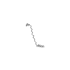 CCCCCCCCCCCCCCCCCCCCCC(C)C